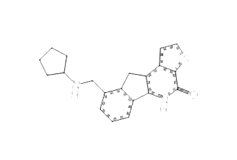 O=c1[nH]c2c(c3ccsc13)Cc1c(CNC3CCCC3)cccc1-2